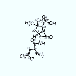 CC1(C)S[C@@H]2[C@@H](NC(=O)C(N)C=C(Cl)Cl)C(=O)N2[C@H]1C(=O)O